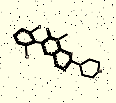 Cn1c(=O)c(-c2c(Cl)cccc2Cl)cc2cnc(N3CCNCC3)nc21